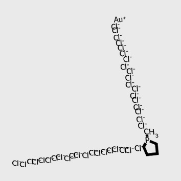 CP1CCCC1.[Au+].[Cl-].[Cl-].[Cl-].[Cl-].[Cl-].[Cl-].[Cl-].[Cl-].[Cl-].[Cl-].[Cl-].[Cl-].[Cl-].[Cl-].[Cl-].[Cl-].[Cl-].[Cl-].[Cl-].[Cl-].[Cl-].[Cl-].[Cl-].[Cl-].[Cl-].[Cl-].[Cl-].[Cl-].[Cl-].[Cl-].[Cl-].[Cl-].[Cl-].[Cl-].[Cl-].[Cl-].[Cl-].[Cl-]